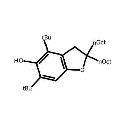 CCCCCCCCC1(CCCCCCCC)Cc2c(cc(C(C)(C)C)c(O)c2C(C)(C)C)O1